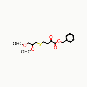 O=COCC(CSCCC(=O)C(=O)OCc1ccccc1)OC=O